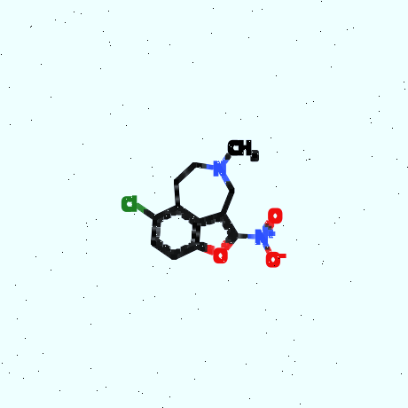 CN1CCc2c(Cl)ccc3oc([N+](=O)[O-])c(c23)C1